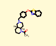 CC(=O)N1CCC[C@@H]2CN(Cc3ccc(Oc4nc5ccccc5s4)cc3)CC[C@H]21